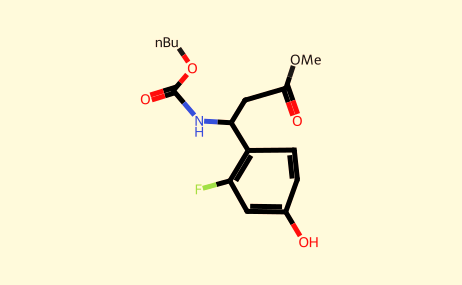 CCCCOC(=O)NC(CC(=O)OC)c1ccc(O)cc1F